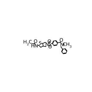 C=CC(=O)NC1CC2CN(S(=O)(=O)c3ccc(C(=O)N(C)Cc4ccccc4)cc3)CC2S1